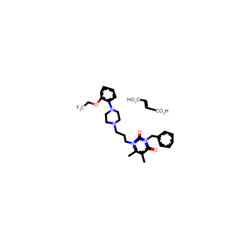 Cc1c(C)n(CCCN2CCN(c3ccccc3OCC(F)(F)F)CC2)c(=O)n(Cc2ccccc2)c1=O.O=C(O)C=CC(=O)O